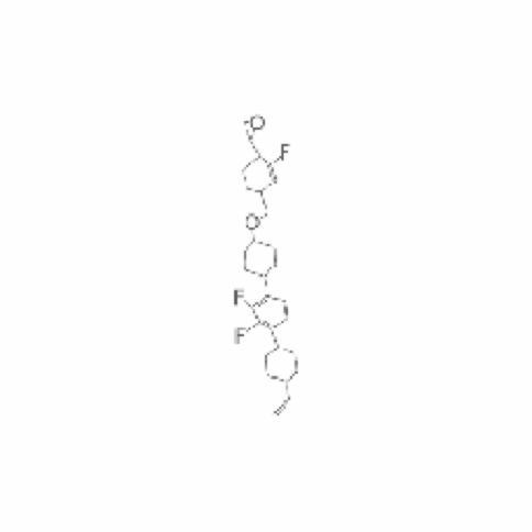 C=CC1CCC(c2ccc(C3CCC(OCC4C=C(F)C(C5CO5)CC4)CC3)c(F)c2F)CC1